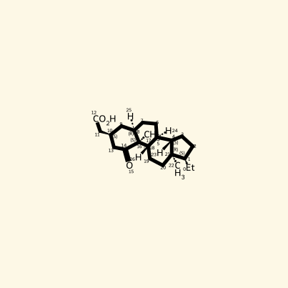 CC[C@H]1CC[C@H]2[C@@H]3CC[C@@H]4C[C@H](CC(=O)O)CC(=O)[C@]4(C)[C@H]3CC[C@]12C